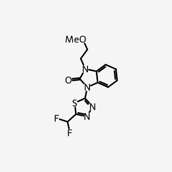 COCCn1c(=O)n(-c2nnc(C(F)F)s2)c2ccccc21